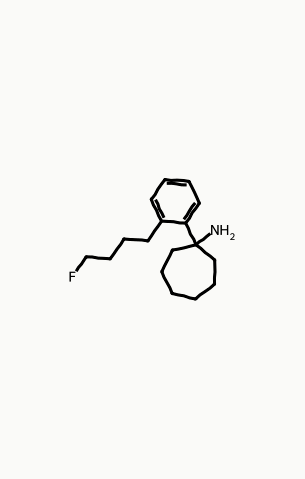 NC1(c2ccccc2CCCCF)CCCCCC1